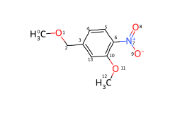 COCc1ccc([N+](=O)[O-])c(OC)c1